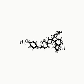 Cc1ccc(SN2CCC3(CC2)CC2(C3)OB(O)c3cnc4[nH]ccc4c32)cc1